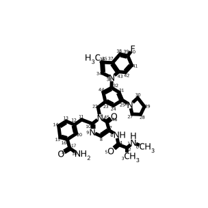 CNC(C)C(=O)Nc1cnc(Cc2cccc(C(N)=O)c2)n(Cc2cc(N3CCCC3)cc(-n3cc(C)c4cc(F)ccc43)c2)c1=O